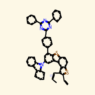 C=Cc1sc2ccc3sc4c(-c5ccc(-c6nc(-c7ccccc7)nc(-c7ccccc7)n6)cc5)cc(-n5c6ccccc6c6ccccc65)cc4c3c2c1/C=C\C